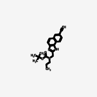 C#Cc1ccc2c(ccc3nc(CN(CCC)C(=O)OC(C)(C)C)[nH]c32)c1